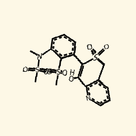 CN(c1cccc(C2=C(O)c3ncccc3CS2(=O)=O)c1S(C)(=O)=O)S(C)(=O)=O